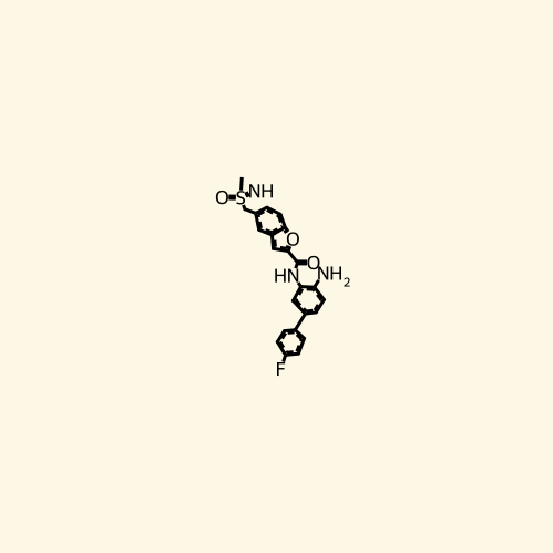 CS(=N)(=O)Cc1ccc2oc(C(=O)Nc3cc(-c4ccc(F)cc4)ccc3N)cc2c1